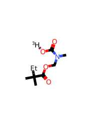 [3H]OC(=O)N(C)COC(=O)C(C)(C)CC